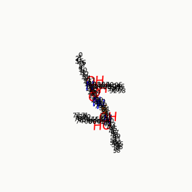 CC/C=C\C/C=C\C/C=C\CCCCCC[C@@H](O)CN(CCCC(=O)OCCN1CCN(CCSSCCCN(C[C@@H](O)CCCCCC/C=C\C/C=C\C/C=C\CC)C[C@@H](O)CCCCCC/C=C\C/C=C\C/C=C\CC)CC1)C[C@H](O)CCCCCC/C=C\C/C=C\C/C=C\CC